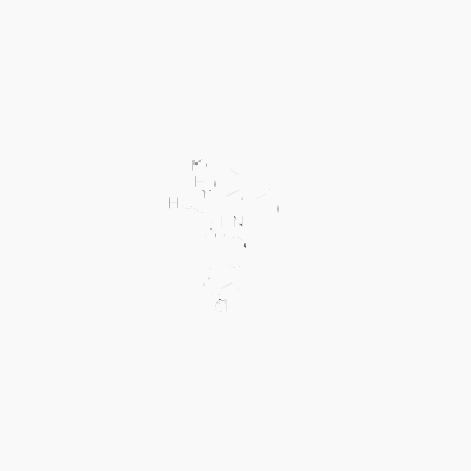 C#CCOC(C(=O)Nc1ccccc1-c1ccc(O)c(O)c1)c1ccc(Cl)cc1